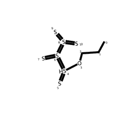 CCCO[SH](=S)=S(=S)=S(=S)=S